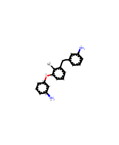 N#Cc1c(Cc2cccc(N)c2)cccc1Oc1cccc(N)c1